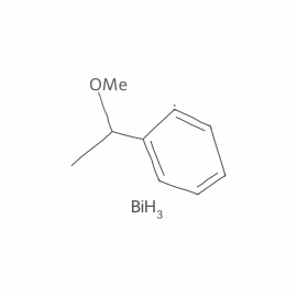 COC(C)c1[c]cccc1.[BiH3]